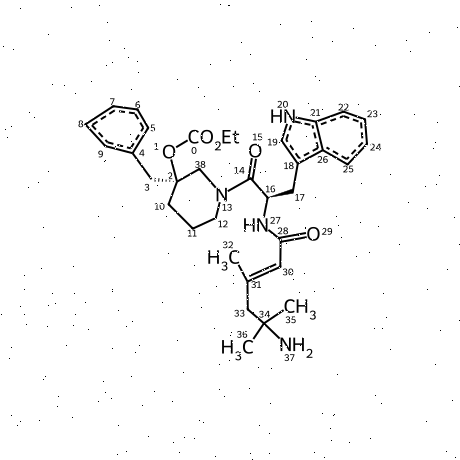 CCOC(=O)O[C@]1(Cc2ccccc2)CCCN(C(=O)[C@@H](Cc2c[nH]c3ccccc23)NC(=O)/C=C(\C)CC(C)(C)N)C1